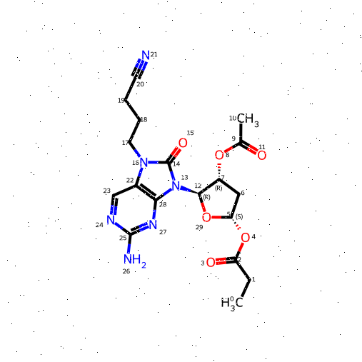 CCC(=O)O[C@H]1C[C@@H](OC(C)=O)[C@H](n2c(=O)n(CCCC#N)c3cnc(N)nc32)O1